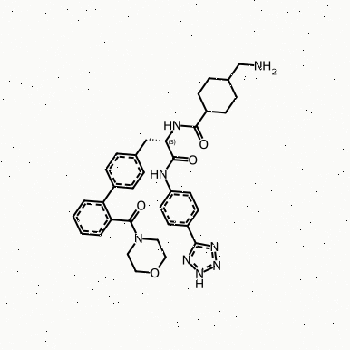 NCC1CCC(C(=O)N[C@@H](Cc2ccc(-c3ccccc3C(=O)N3CCOCC3)cc2)C(=O)Nc2ccc(-c3nn[nH]n3)cc2)CC1